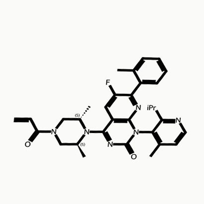 C=CC(=O)N1C[C@H](C)N(c2nc(=O)n(-c3c(C)ccnc3C(C)C)c3nc(-c4ccccc4C)c(F)cc23)[C@@H](C)C1